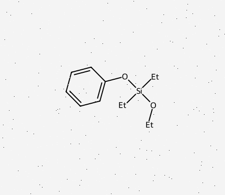 CCO[Si](CC)(CC)Oc1ccccc1